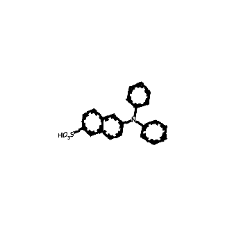 O=S(=O)(O)c1ccc2cc(N(c3ccccc3)c3ccccc3)ccc2c1